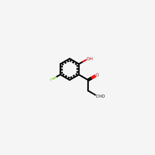 O=CCC(=O)c1cc(F)ccc1O